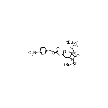 C[C@@H](O[Si](C)(C)C(C)(C)C)[C@]1(C)C(=O)N([Si](C)(C)C(C)(C)C)C1CC(=O)CC(=O)OCc1ccc([N+](=O)[O-])cc1